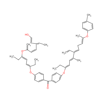 C=CC(=C\C/C=C(\C)Oc1ccc(C)cc1)/C(C)=C/C=C(\CC)Oc1ccc(C(=O)c2ccc(O/C(=C/C=C(\CC)OC(=C)\C=C/C(/C=C/O)=C\C)CC)cc2)cc1